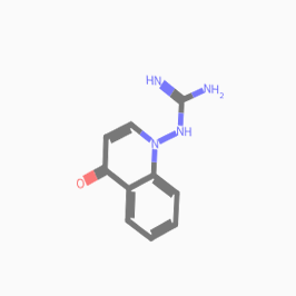 N=C(N)Nn1ccc(=O)c2ccccc21